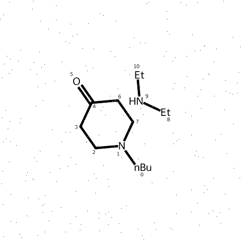 CCCCN1CCC(=O)CC1.CCNCC